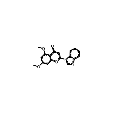 COc1cc(OC)c2c(=O)cc(-n3cnc4ccccc43)oc2c1